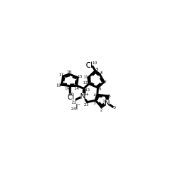 Cn1cc2c(c1)-c1ccc(Cl)cc1C(c1ccccc1Cl)=[N+](C)C2.[I-]